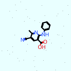 Cc1nc(Nc2ccccc2)c(C(=O)O)cc1C#N